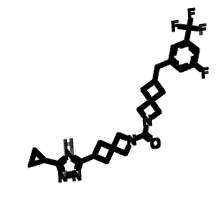 O=C(N1CC2(CC(Cc3cc(F)cc(C(F)(F)F)c3)C2)C1)N1CC2(CC(c3nnc(C4CC4)[nH]3)C2)C1